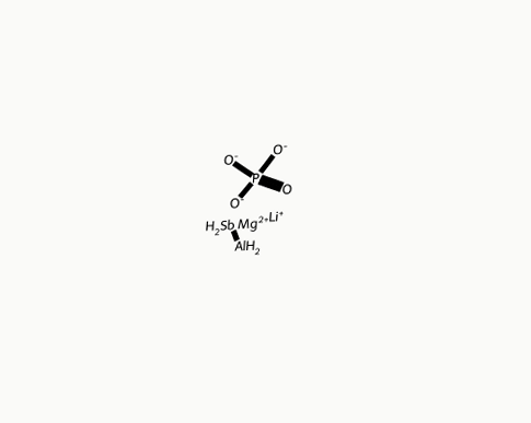 O=P([O-])([O-])[O-].[AlH2][SbH2].[Li+].[Mg+2]